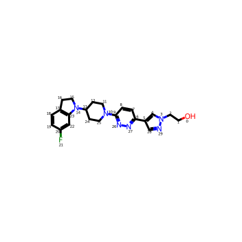 OCCn1cc(-c2ccc(N3CCC(N4CCc5ccc(F)cc54)CC3)nn2)cn1